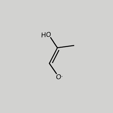 C/C(O)=C\[O]